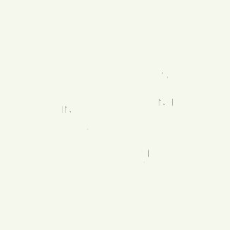 CC(=O)NC(C)CC=N